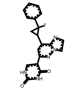 O=c1[nH]cc(-c2cc(C3CC3(F)c3ccccc3)c3nccn3n2)c(=O)[nH]1